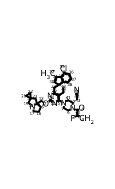 C=C(F)C(=O)N1CCN(c2nc(OCC34CCCN3CC3(CC3)C4)nc3c2CC[C@@]2(C=C(C)c4c(Cl)cccc42)C3)C[C@@H]1CC#N